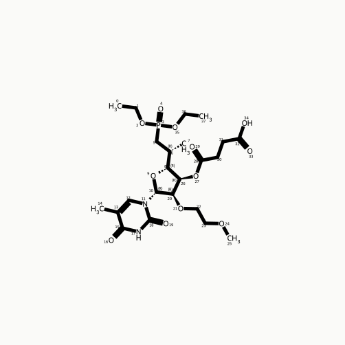 CCOP(=O)(C[C@H](C)[C@H]1O[C@@H](n2cc(C)c(=O)[nH]c2=O)[C@H](OCCOC)[C@@H]1OC(=O)CCC(=O)O)OCC